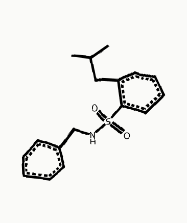 CC(C)Cc1ccccc1S(=O)(=O)NCc1ccccc1